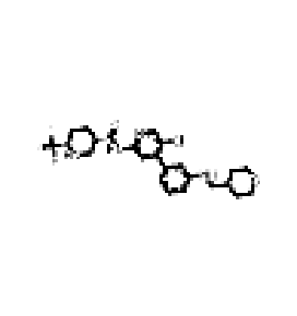 O=C(Nc1cc(-c2cccc(NCC3CCOCC3)c2)c(Cl)cn1)[C@@H]1CC[C@H](C(F)(F)F)NC1